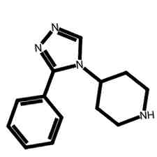 c1ccc(-c2nncn2C2CCNCC2)cc1